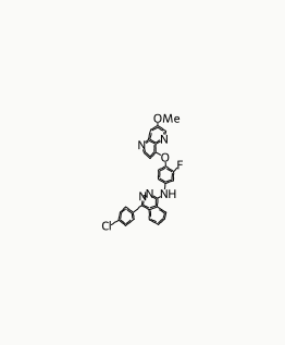 COc1cnc2c(Oc3ccc(Nc4nnc(-c5ccc(Cl)cc5)c5ccccc45)cc3F)ccnc2c1